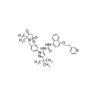 CC(C)(C)c1cc(NC(=O)Nc2ccc(OCCc3cccnc3)c3ccccc23)n(-c2ccc(CN3C(C)(C)C(=O)CS3(=O)=O)cc2)n1